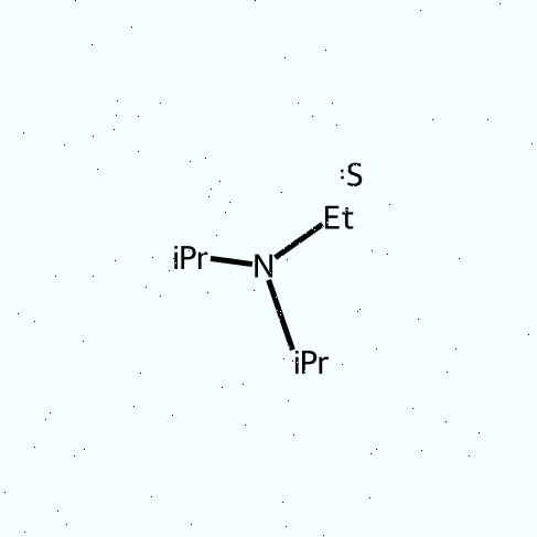 CCN(C(C)C)C(C)C.[S]